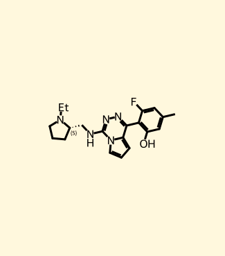 CCN1CCC[C@H]1CNc1nnc(-c2c(O)cc(C)cc2F)c2cccn12